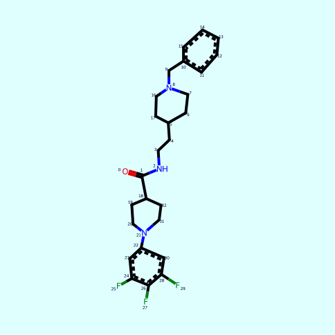 O=C(NCCC1CCN(Cc2ccccc2)CC1)C1CCN(c2cc(F)c(F)c(F)c2)CC1